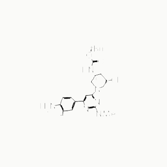 CNc1nc(-c2ccc(N)c(F)c2)cc(N2C[C@H](C)C[C@@H](NC(=O)OC(C)(C)C)C2)n1